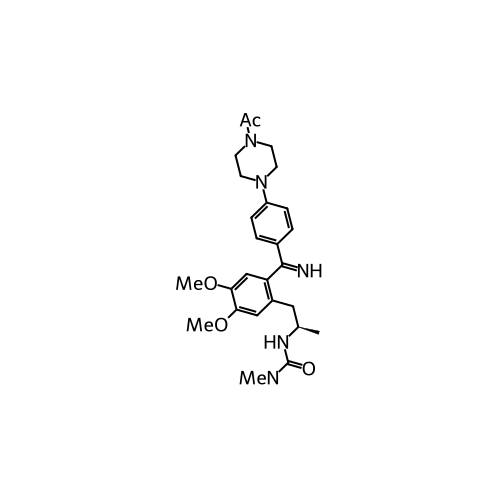 CNC(=O)N[C@H](C)Cc1cc(OC)c(OC)cc1C(=N)c1ccc(N2CCN(C(C)=O)CC2)cc1